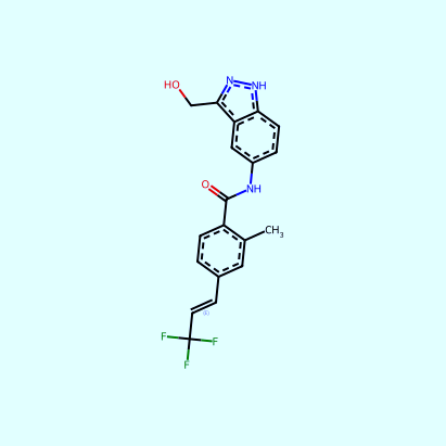 Cc1cc(/C=C/C(F)(F)F)ccc1C(=O)Nc1ccc2[nH]nc(CO)c2c1